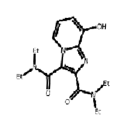 CCN(CC)C(=O)c1nc2c(O)cccn2c1C(=O)N(CC)CC